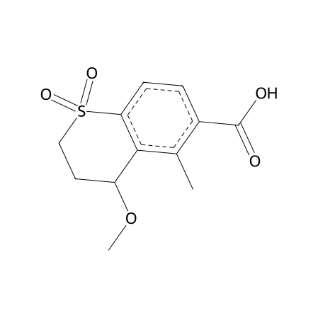 COC1CCS(=O)(=O)c2ccc(C(=O)O)c(C)c21